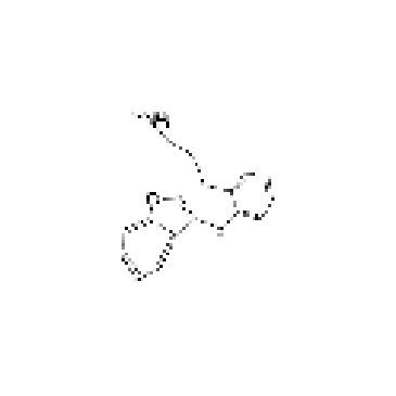 CNCCCc1ccccc1Sc1coc2ccccc12